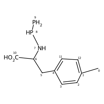 Cc1ccc(CC(NPP)C(=O)O)cc1